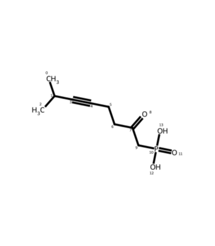 CC(C)C#CCCC(=O)CP(=O)(O)O